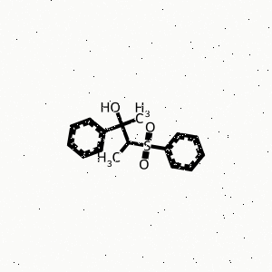 CC(C(C)(O)c1ccccc1)S(=O)(=O)c1ccccc1